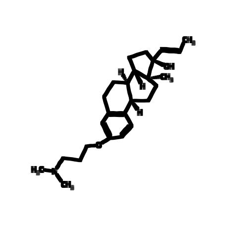 CC=C[C@@]1(O)CC[C@H]2[C@@H]3CCc4cc(OCCCN(C)C)ccc4[C@H]3CC[C@@]21C